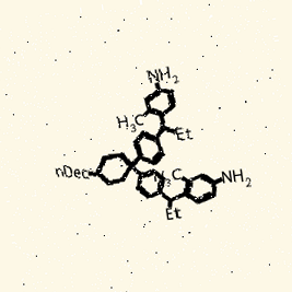 CCCCCCCCCCC1CCC(c2ccc(C(CC)c3ccc(N)cc3C)cc2)(c2ccc(C(CC)c3ccc(N)cc3C)cc2)CC1